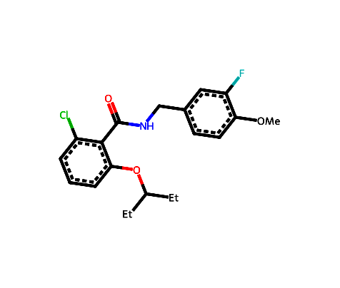 CCC(CC)Oc1cccc(Cl)c1C(=O)NCc1ccc(OC)c(F)c1